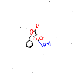 NC(=O)OC1CC(=O)OC1Cc1ccccc1